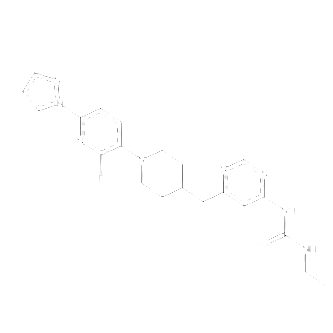 CCNC(=O)Nc1cc(CC2CCN(c3ccc(-n4cccn4)nc3F)CC2)ncn1